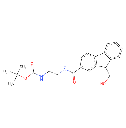 CC(C)(C)OC(=O)NCCNC(=O)c1ccc2c(c1)C(CO)c1ccccc1-2